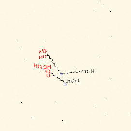 CCCCCCCC/C=C\CCCCCCCC(=O)OCC(O)CO.O=C(O)CCCCCCC/C=C\CCCCCCCCCC(O)CO